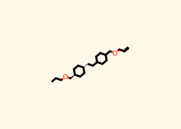 C=CCOCC1CCC(CC[C@H]2CC[C@H](COCCC)CC2)CC1